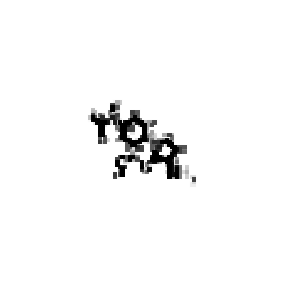 COC[C@@H]1C[C@H](N(C)C(C)C)CC[C@@H]1N1CCC(N)C1=O